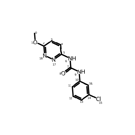 COc1ccc(NC(=O)Nc2cccc(Cl)c2)nn1